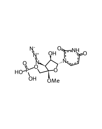 CO[C@]1(COP(=O)(O)O)O[C@@H](n2ccc(=O)[nH]c2=O)[C@H](O)[C@@H]1N=[N+]=[N-]